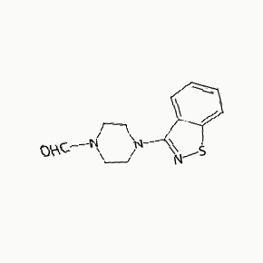 O=CN1CCN(c2nsc3ccccc23)CC1